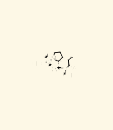 CC(=O)[C@@H](CC(C)C)N(C)C(=O)[C@@H]1CCCN1S(C)(=O)=O